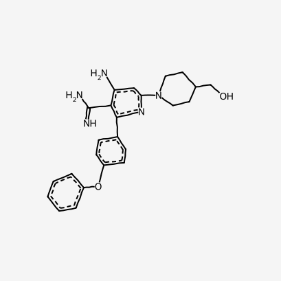 N=C(N)c1c(N)cc(N2CCC(CO)CC2)nc1-c1ccc(Oc2ccccc2)cc1